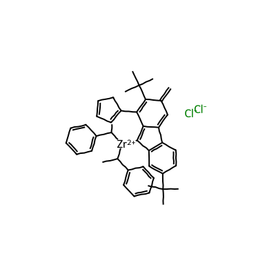 C=c1cc2c(c(C3=CC=CC3)c1C(C)(C)C)=[C]([Zr+2]([CH](C)c1ccccc1)[CH](C)c1ccccc1)c1cc(C(C)(C)C)ccc1-2.[Cl-].[Cl-]